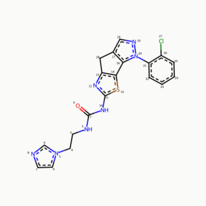 O=C(NCCn1ccnc1)Nc1nc2c(s1)-c1c(cnn1-c1ccccc1Cl)C2